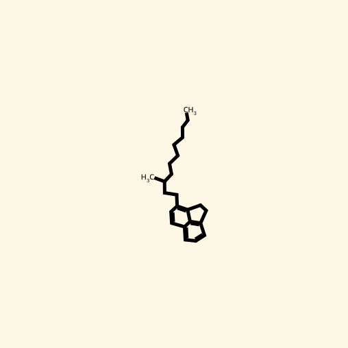 CCCCCCCCC(C)CCc1ccc2cccc3c2c1CC3